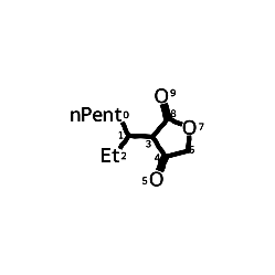 CCCCCC(CC)C1C(=O)COC1=O